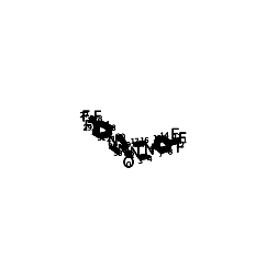 O=C(N1CCN(c2ccc(C(F)(F)F)cc2)CC1)N1CCN(c2ccc(C(F)(F)F)cc2)CC1